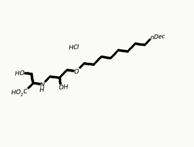 CCCCCCCCCCCCCCCCCCOCC(O)CNC(CO)C(=O)O.Cl